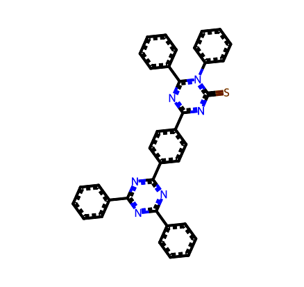 S=c1nc(-c2ccc(-c3nc(-c4ccccc4)nc(-c4ccccc4)n3)cc2)nc(-c2ccccc2)n1-c1ccccc1